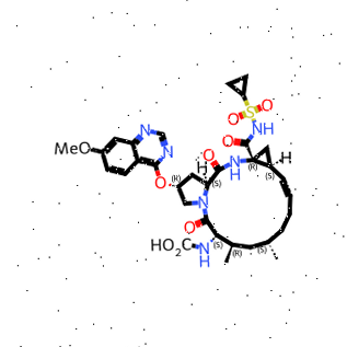 COc1ccc2c(O[C@@H]3C[C@H]4C(=O)N[C@]5(C(=O)NS(=O)(=O)C6CC6)C[C@H]5C=CCC[C@H](C)C[C@@H](C)[C@H](NC(=O)O)C(=O)N4C3)ncnc2c1